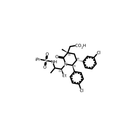 CC[C@@H](C(C)NS(=O)(=O)C(C)C)N1C(=O)[C@](C)(CC(=O)O)C[C@H](c2cccc(Cl)c2)[C@H]1c1ccc(Cl)cc1